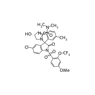 COc1ccc(S(=O)(=O)N2C(=O)C(c3cc(C)ccc3C)(N3C[C@H](O)C[C@H]3C(=O)N(C)C)c3cc(Cl)ccc32)c(OC(F)(F)F)c1